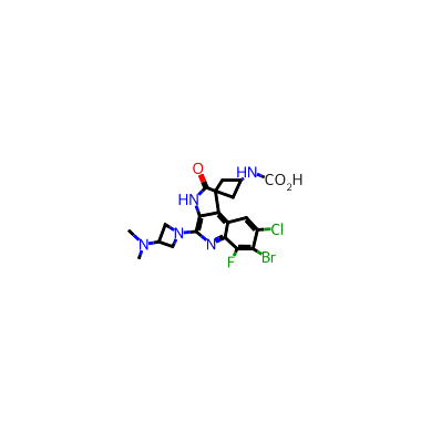 CN(C)C1CN(c2nc3c(F)c(Br)c(Cl)cc3c3c2NC(=O)C32CC(NC(=O)O)C2)C1